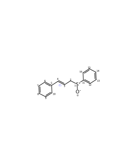 [O-][S+](C/C=C/c1ccccc1)c1ccccc1